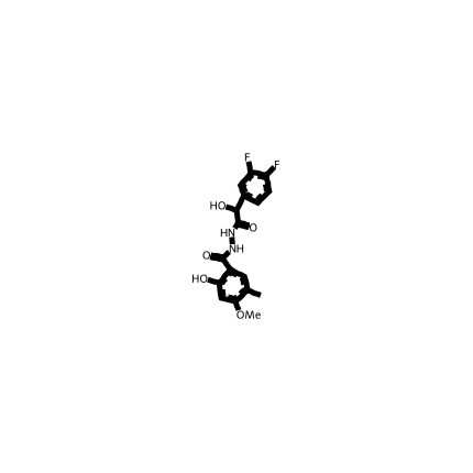 COc1cc(O)c(C(=O)NNC(=O)C(O)c2ccc(F)c(F)c2)cc1C